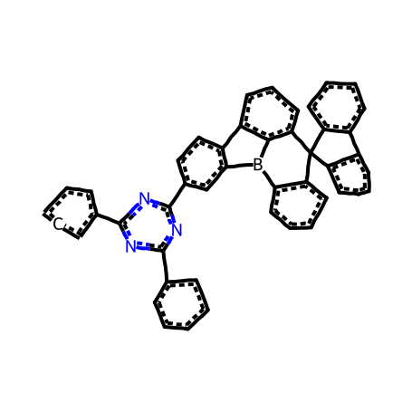 c1ccc(-c2nc(-c3ccccc3)nc(-c3ccc4c(c3)B3c5ccccc5C5(c6ccccc6-c6ccccc65)c5cccc-4c53)n2)cc1